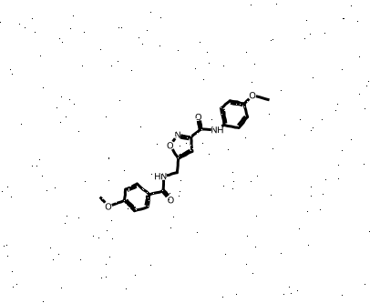 COc1ccc(NC(=O)c2cc(CNC(=O)c3ccc(OC)cc3)on2)cc1